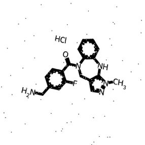 Cl.Cn1ncc2c1Nc1ccccc1N(C(=O)c1ccc(CN)cc1F)C2